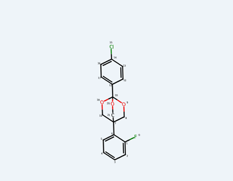 Fc1ccccc1C12COC(c3ccc(Cl)cc3)(OC1)OC2